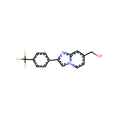 OCc1ccn2cc(-c3ccc(C(F)(F)F)cc3)nc2c1